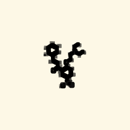 CCN(CC)CCOc1ccc([N+](=O)[O-])cc1C(=O)C=Cc1ccccc1